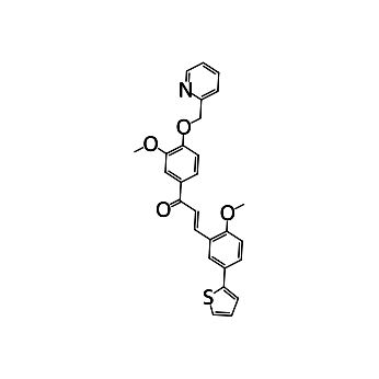 COc1ccc(-c2cccs2)cc1C=CC(=O)c1ccc(OCc2ccccn2)c(OC)c1